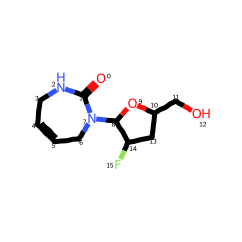 O=C1NCC=CCN1C1OC(CO)CC1F